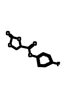 O=C1OCC(C(=O)Oc2ccc(F)cc2)O1